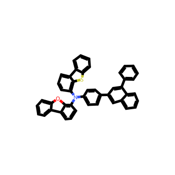 c1ccc(-c2cc(-c3ccc(N(c4cccc5c4oc4ccccc45)c4cccc5c4sc4ccccc45)cc3)cc3ccccc23)cc1